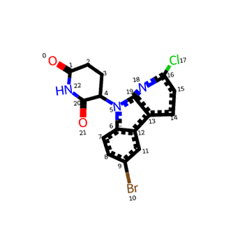 O=C1CCC(n2c3ccc(Br)cc3c3ccc(Cl)nc32)C(=O)N1